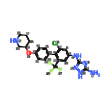 Nc1nc(Nc2cc(Cl)c(-c3ccc(OC4CCCNC4)cc3)c(C(F)(F)F)c2)n[nH]1